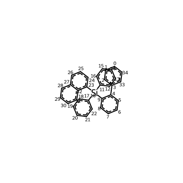 c1ccc(-c2ccccc2[Si](c2ccccc2)(c2ccccc2)c2cccc3ccccc23)cc1